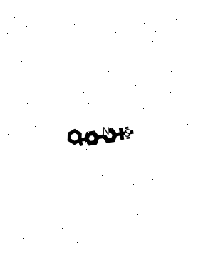 CC1(c2ccc(-c3ccc(C(C)(C)S(C)(C)C)cn3)cc2)CCCCC1